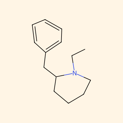 CCN1CCCCC1Cc1ccccc1